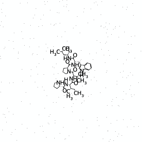 CC[C@H](C)[C@H](NC(=O)[C@@H]1CCCN1)C(=O)N[C@H](C(=O)N1CCC[C@H]1C(=O)N[C@@H](Cc1c[nH]c2ccccc12)C(=O)N[C@H]([C]=O)CC(C)C)C(C)C